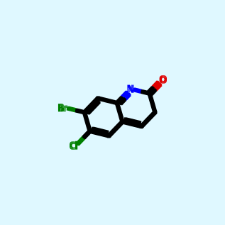 O=C1CC=c2cc(Cl)c(Br)cc2=N1